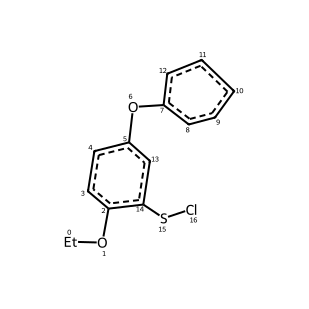 CCOc1ccc(Oc2ccccc2)cc1SCl